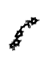 O=C(CCCc1ccc(-c2ccc3[nH]ncc3c2)cc1)Nc1cccnc1